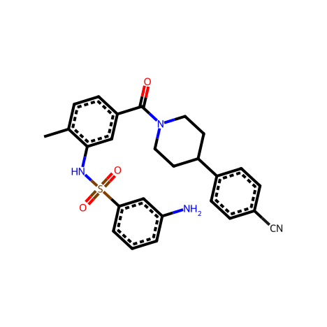 Cc1ccc(C(=O)N2CCC(c3ccc(C#N)cc3)CC2)cc1NS(=O)(=O)c1cccc(N)c1